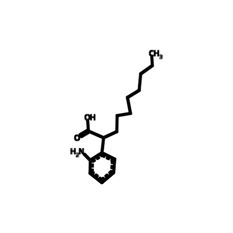 CCCCCCCCC(C(=O)O)c1ccccc1N